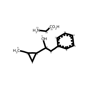 CC1CC1C(O)Cc1ccccc1.NCC(=O)O